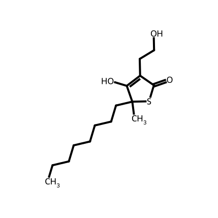 CCCCCCCCC1(C)SC(=O)C(CCO)=C1O